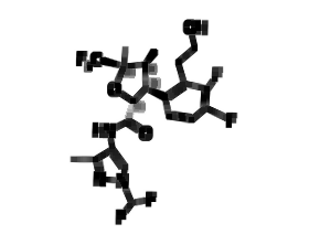 Cc1nn(C(F)F)cc1NC(=O)[C@@H]1O[C@@](C)(C(F)(F)F)[C@@H](C)[C@H]1c1ccc(F)c(F)c1CCO